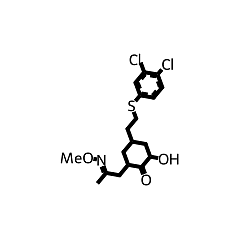 CON=C(C)CC1CC(CCSc2ccc(Cl)c(Cl)c2)CC(O)C1=O